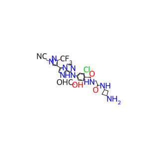 N#CCn1cc(-c2cnc3c(Nc4ccc(C(=O)NCC(=O)NC5CC(N)C5)c(Cl)c4)nccn23)c(C(F)(F)F)n1.O=CO